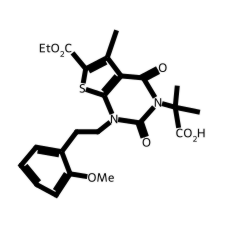 CCOC(=O)c1sc2c(c1C)c(=O)n(C(C)(C)C(=O)O)c(=O)n2CCc1ccccc1OC